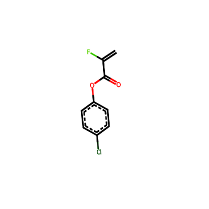 C=C(F)C(=O)Oc1ccc(Cl)cc1